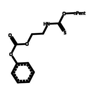 CCCCCOC(=S)NCCOC(=O)Oc1ccccc1